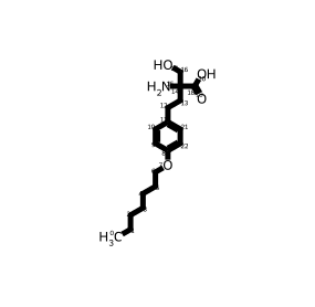 CCCCCCCOc1ccc(CCC(N)(CO)C(=O)O)cc1